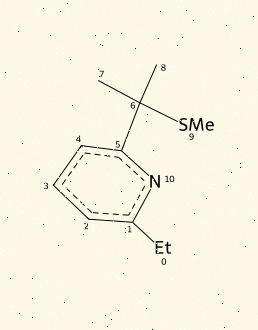 CCc1cccc(C(C)(C)SC)n1